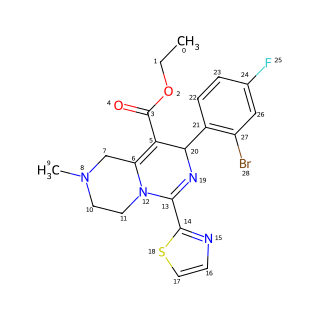 CCOC(=O)C1=C2CN(C)CCN2C(c2nccs2)=NC1c1ccc(F)cc1Br